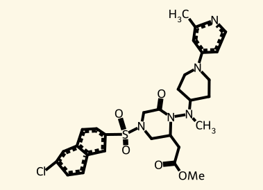 COC(=O)CC1CN(S(=O)(=O)c2ccc3cc(Cl)ccc3c2)CC(=O)N1N(C)C1CCN(c2ccnc(C)c2)CC1